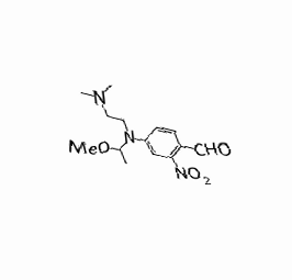 COC(C)N(CCN(C)C)c1ccc(C=O)c([N+](=O)[O-])c1